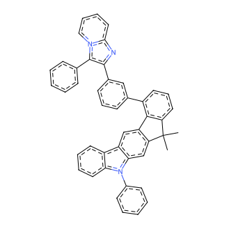 CC1(C)c2cc3c(cc2-c2c(-c4cccc(-c5nc6ccccn6c5-c5ccccc5)c4)cccc21)c1ccccc1n3-c1ccccc1